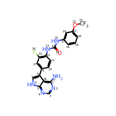 Nc1ncnc2[nH]cc(-c3ccc(NC(=O)Nc4cccc(OC(F)(F)F)c4)c(F)c3)c12